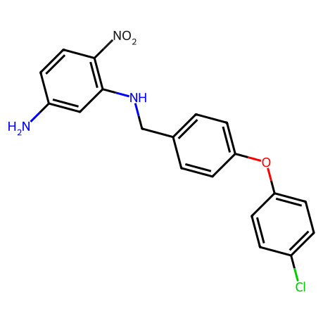 Nc1ccc([N+](=O)[O-])c(NCc2ccc(Oc3ccc(Cl)cc3)cc2)c1